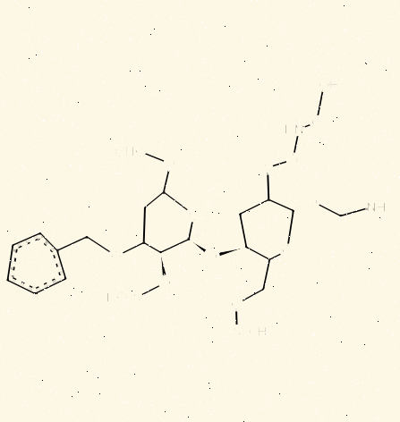 C[C@@H]1C(SONOO)[C@H](OCN)OC(COS(=O)(=O)O)[C@H]1O[C@@H]1OC(OC=O)CC(OCc2ccccc2)[C@@H]1OS(=O)(=O)O